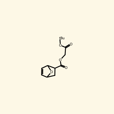 CC(C)(C)OC(=O)COC(=O)C1CC2C=CC1O2